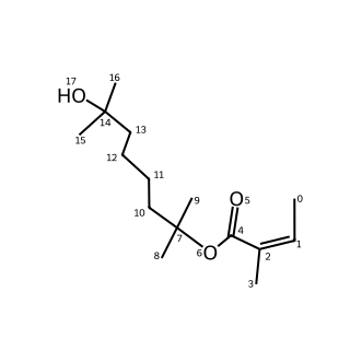 CC=C(C)C(=O)OC(C)(C)CCCCC(C)(C)O